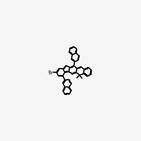 CC1(C)c2ccccc2C=c2c1cc1c(c2-c2ccc3ccccc3c2)C=c2cc(Br)cc(-c3ccc4ccccc4c3)c2=1